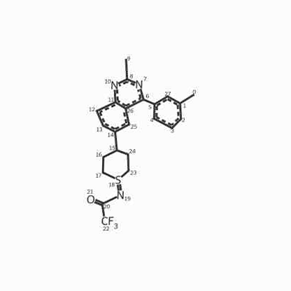 Cc1cccc(-c2nc(C)nc3ccc(C4CCS(=NC(=O)C(F)(F)F)CC4)cc23)c1